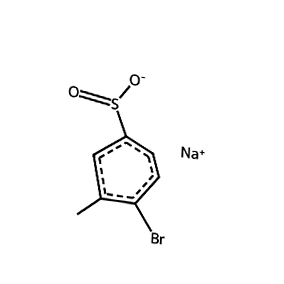 Cc1cc(S(=O)[O-])ccc1Br.[Na+]